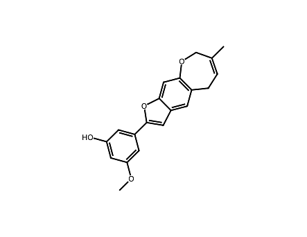 COc1cc(O)cc(-c2cc3cc4c(cc3o2)OCC(C)=CC4)c1